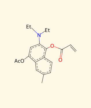 C=CC(=O)Oc1c(N(CC)CC)cc(OC(C)=O)c2cc(C)ccc12